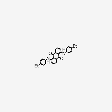 CCc1ccc(Nc2cccc3c2C(=O)c2cccc(Nc4ccc(CC)cc4)c2C3=O)cc1